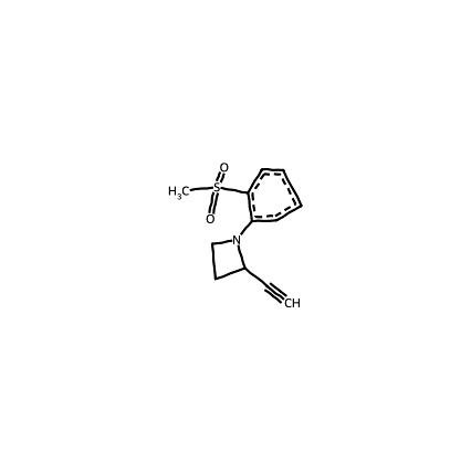 C#CC1CCN1c1ccccc1S(C)(=O)=O